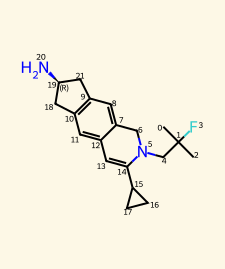 CC(C)(F)CN1Cc2cc3c(cc2C=C1C1CC1)C[C@@H](N)C3